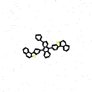 C1=CC2Sc3cc(-c4c5ccccc5c(-c5ccc6c(c5)sc5ccc7ccccc7c56)c5ccc(-c6ccccc6)cc45)ccc3C2c2ccccc21